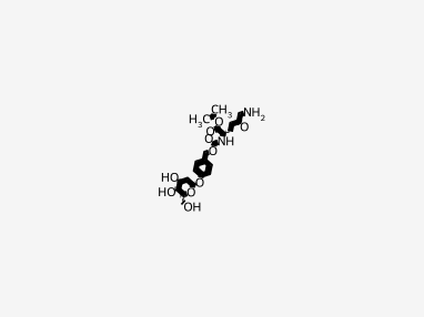 CC(C)OC(=O)[C@H](CCC(=O)CN)NC(=O)OCc1ccc(O[C@@H]2C[C@@H](O)[C@@H](O)[C@@H](CO)O2)cc1